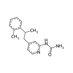 Cc1ccccc1C(C)Cc1ccnc(NC(N)=O)c1